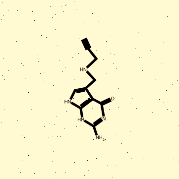 C#CCNCc1c[nH]c2[nH]c(N)nc(=O)c12